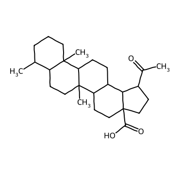 CC(=O)C1CCC2(C(=O)O)CCC3C(CCC4C5(C)CCCC(C)C5CCC34C)C12